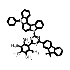 Bc1c(B)c(B)c(-c2nc(-c3ccc4c(c3)C(C)(C)c3ccccc3-4)nc(-n3c4ccccc4c4c5c6ccccc6n(-c6ccccc6)c5ccc43)n2)c(B)c1B